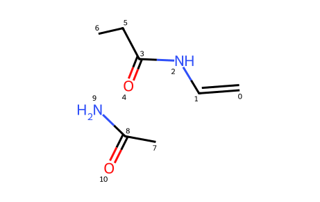 C=CNC(=O)CC.CC(N)=O